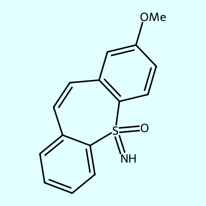 COc1ccc2c(c1)C=Cc1ccccc1S2(=N)=O